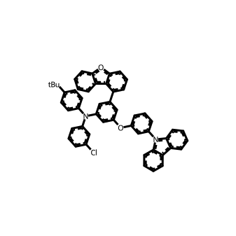 CC(C)(C)c1ccc(N(c2cccc(Cl)c2)c2cc(Oc3cccc(-n4c5ccccc5c5ccccc54)c3)cc(-c3cccc4oc5ccccc5c34)c2)cc1